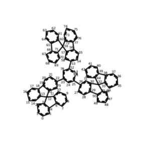 c1ccc2c(c1)-c1ccccc1C21c2ccccc2-c2ccc(-c3cc(-c4ccc5c(c4)C4(c6ccccc6-c6ccccc64)c4ccccc4-5)nc(-c4ccc5c(c4)C4(c6ccccc6-c6ccccc64)c4ccccc4-5)c3)cc21